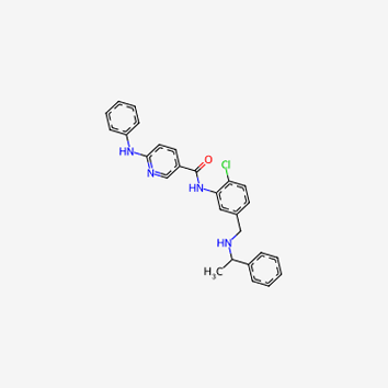 CC(NCc1ccc(Cl)c(NC(=O)c2ccc(Nc3ccccc3)nc2)c1)c1ccccc1